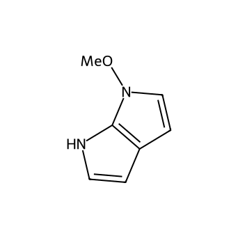 COn1ccc2cc[nH]c21